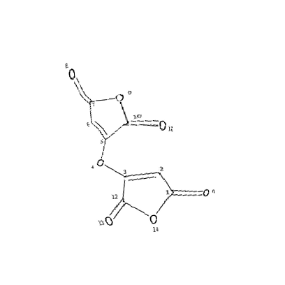 O=C1C=C(OC2=CC(=O)OC2=O)C(=O)O1